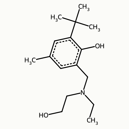 CCN(CCO)Cc1cc(C)cc(C(C)(C)C)c1O